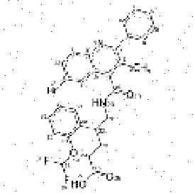 Cc1c(-c2ccccc2)nc2ccc(Br)cc2c1C(=O)NCC(CCC(=O)O)c1ccccc1OC(F)F